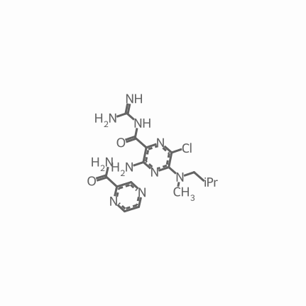 CC(C)CN(C)c1nc(N)c(C(=O)NC(=N)N)nc1Cl.NC(=O)c1cnccn1